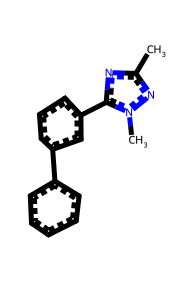 Cc1nc(-c2cccc(-c3ccccc3)c2)n(C)n1